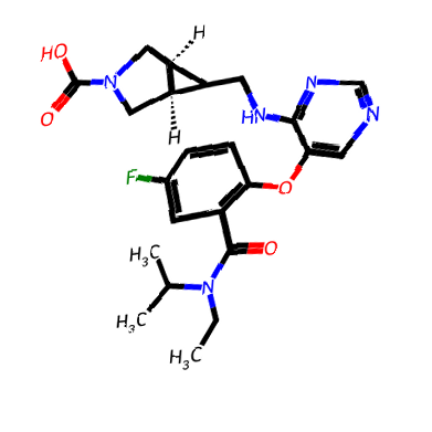 CCN(C(=O)c1cc(F)ccc1Oc1cncnc1NCC1[C@H]2CN(C(=O)O)C[C@@H]12)C(C)C